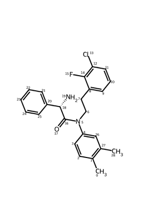 Cc1ccc(N(CCc2cccc(Cl)c2F)C(=O)[C@@H](N)c2ccccc2)cc1C